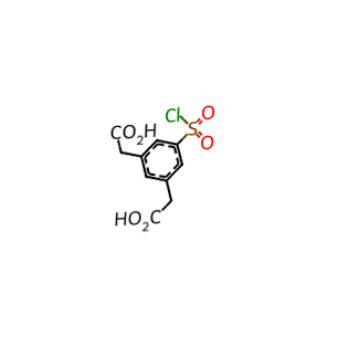 O=C(O)Cc1cc(CC(=O)O)cc(S(=O)(=O)Cl)c1